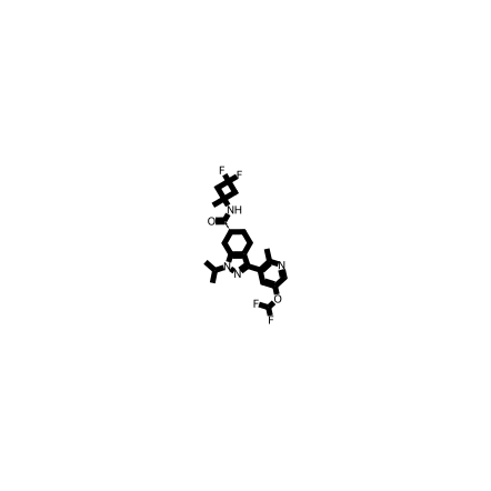 Cc1ncc(OC(F)F)cc1-c1nn(C(C)C)c2c1CC[C@@H](C(=O)NC1(C)CC(F)(F)C1)C2